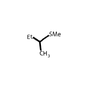 [CH2]SC(C)CC